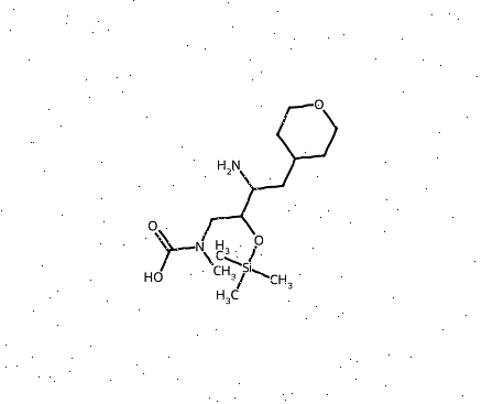 CN(CC(O[Si](C)(C)C)C(N)CC1CCOCC1)C(=O)O